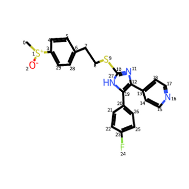 C[S+]([O-])c1ccc(CCSc2nc(-c3ccncc3)c(-c3ccc(F)cc3)[nH]2)cc1